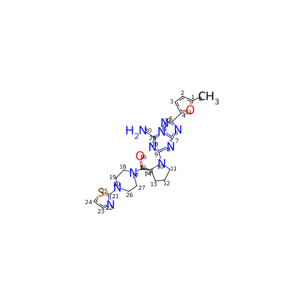 Cc1ccc(-c2nc3nc(N4CCC[C@H]4C(=O)N4CCN(c5nccs5)CC4)nc(N)n3n2)o1